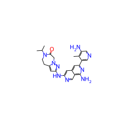 Cc1c(N)cncc1-c1cc2cc(Nc3cc4n(n3)CC(=O)N(C(C)C)CC4)ncc2c(N)n1